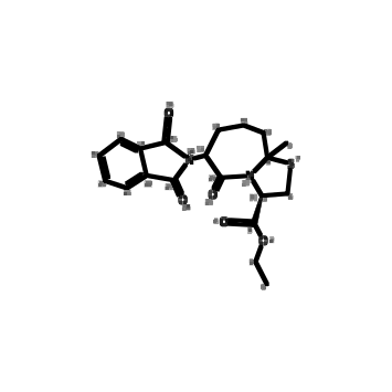 CCOC(=O)[C@@H]1CSC2(C)CCCC(N3C(=O)c4ccccc4C3=O)C(=O)N12